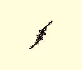 CCCCCCCCCCc1ccc2cc(-c3cc4cc(OC)c(-c5cc6ccc(CCCCCCCCCC)cc6cc5OC)cc4cc3OC)c(OC)cc2c1